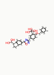 OC(O)C1C=Cc2cc(-c3nc(-c4ccc(OCc5ccccc5)c(C(O)(O)O)c4)no3)ccc21